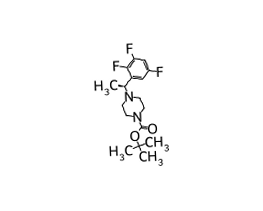 C[C@@H](c1cc(F)cc(F)c1F)N1CCN(C(=O)OC(C)(C)C)CC1